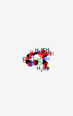 COc1cc2ncnc(Nc3ccc(Cl)c(Cl)c3F)c2cc1OC1CCN(C(=O)CCCCC(=O)NC(C(=O)N2C[C@H](O)C[C@H]2C(=O)NCc2ccc(-c3scnc3C)cc2)C(C)(C)C)CC1